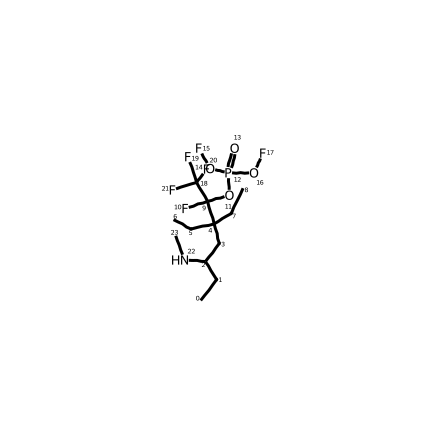 CCC(CC(CC)(CC)C(F)(OP(=O)(OF)OF)C(F)(F)F)NC